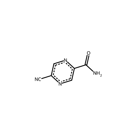 N#Cc1cnc(C(N)=O)cn1